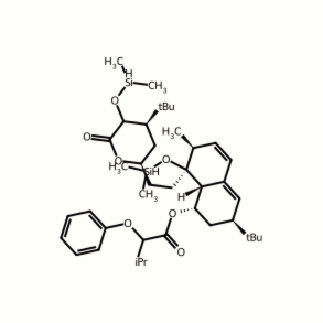 CC(C)C(Oc1ccccc1)C(=O)O[C@H]1C[C@H](C(C)(C)C)C=C2C=C[C@H](C)[C@](CC[C@@H]3C[C@H](C(C)(C)C)C(O[SiH](C)C)C(=O)O3)(O[SiH](C)C)[C@H]21